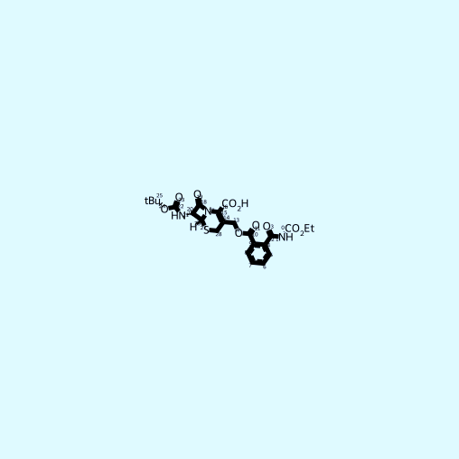 CCOC(=O)NC(=O)c1ccccc1C(=O)OCC1=C(C(=O)O)N2C(=O)[C@@H](NC(=O)OC(C)(C)C)[C@H]2SC1